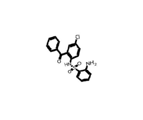 Nc1ccccc1S(=O)(=O)Nc1ccc(Cl)cc1C(=O)c1ccccc1